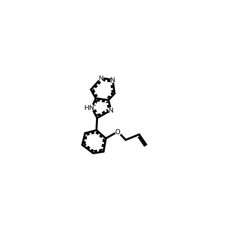 C=CCOc1ccccc1-c1nc2cnncc2[nH]1